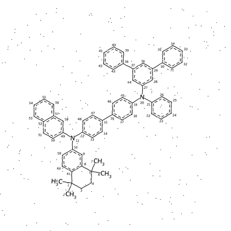 CC1(C)CCC(C)(C)c2cc(N(c3ccc(-c4ccc(N(c5ccccc5)c5cc(-c6ccccc6)cc(-c6ccccc6)c5)cc4)cc3)c3ccc4ccccc4c3)ccc21